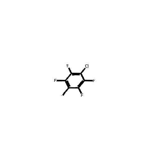 [CH2]c1c(F)c(F)c(Cl)c(F)c1F